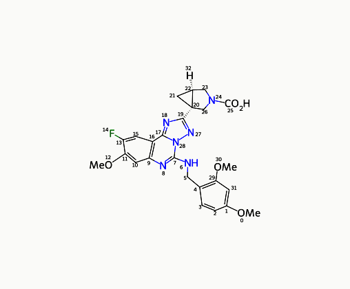 COc1ccc(CNc2nc3cc(OC)c(F)cc3c3nc([C@]45C[C@H]4CN(C(=O)O)C5)nn23)c(OC)c1